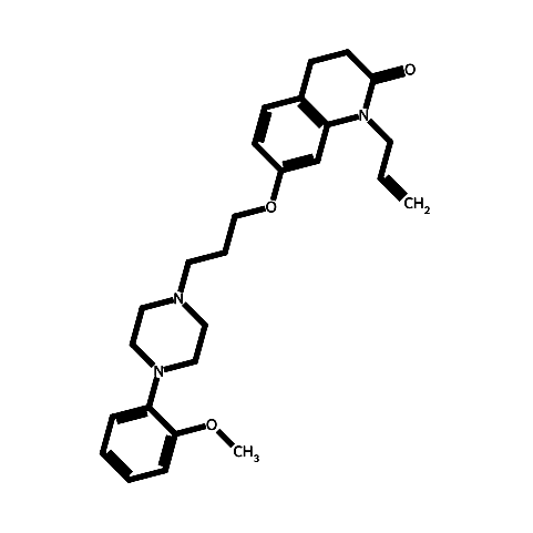 C=CCN1C(=O)CCc2ccc(OCCCN3CCN(c4ccccc4OC)CC3)cc21